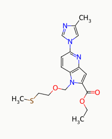 CCOC(=O)c1cc2nc(-n3cnc(C)c3)ccc2n1COCCSC